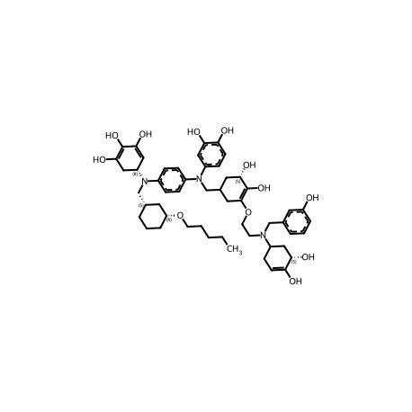 CCCCCO[C@@H]1CCC[C@H](CN(c2ccc(N(CC3CC(OCCN(Cc4cccc(O)c4)C4CC=C(O)[C@@H](O)C4)=C(O)[C@@H](O)C3)c3ccc(O)c(O)c3)cc2)[C@H]2C=C(O)C(O)=C(O)C2)C1